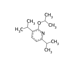 CC(C)Oc1nc(C(C)C)ccc1C(C)C